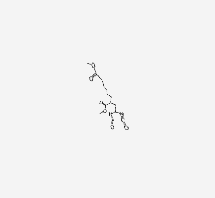 COC(=O)CCCCCC(CC(N=C=O)N=C=O)C(=O)OC